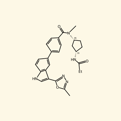 CCC(=O)N[C@H]1CC[C@@H](N(C)C(=O)c2ccc(-c3ccc4[nH]cc(-c5nnc(C)o5)c4c3)cc2)C1